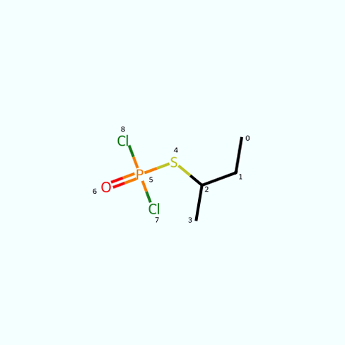 CCC(C)SP(=O)(Cl)Cl